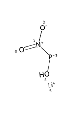 O=[N+]([O-])[P-]O.[Li+]